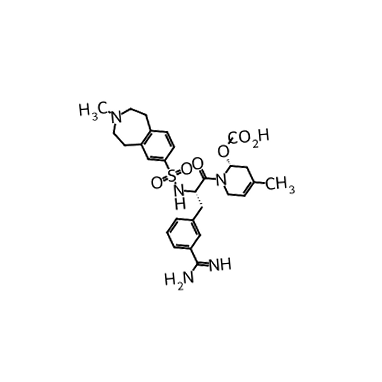 CC1=CCN(C(=O)[C@H](Cc2cccc(C(=N)N)c2)NS(=O)(=O)c2ccc3c(c2)CCN(C)CC3)[C@H](OC(=O)O)C1